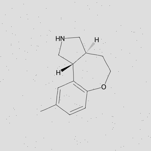 Cc1ccc2c(c1)[C@@H]1CNC[C@H]1CCO2